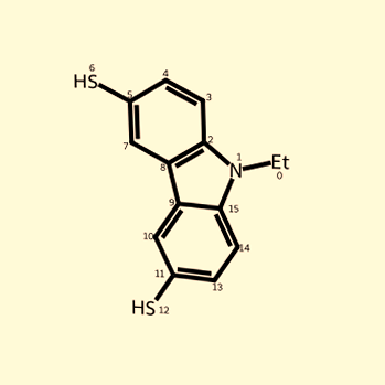 CCn1c2ccc(S)cc2c2cc(S)ccc21